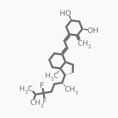 C=C1/C(=C\C=C2CCC[C@@]3(C)C2CC[C@@H]3[C@H](C)CCC(F)(F)C(C)C)C[C@@H](O)C[C@H]1O